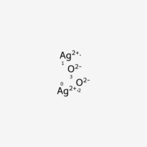 [Ag+2].[Ag+2].[O-2].[O-2]